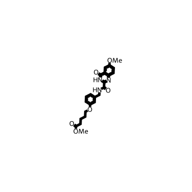 COC(=O)CCCCOc1cccc(CNC(=O)c2nc3ccc(OC)cc3c(=O)[nH]2)c1